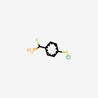 FC(P)c1ccc(SCl)cc1